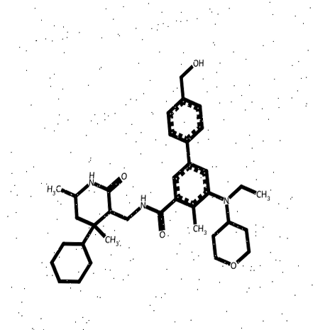 CCN(c1cc(-c2ccc(CO)cc2)cc(C(=O)NCC2C(=O)NC(C)CC2(C)C2CCCCC2)c1C)C1CCOCC1